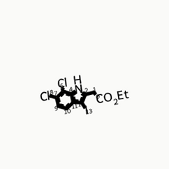 CCOC(=O)Cc1[nH]c2c(Cl)c(Cl)ccc2c1I